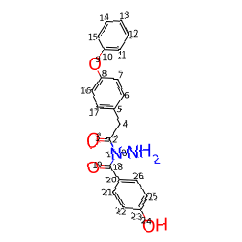 NN(C(=O)Cc1ccc(Oc2ccccc2)cc1)C(=O)c1ccc(O)cc1